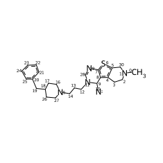 CN1CCc2c(sc3c2C([N])N(CCCN2CCC(Cc4ccccc4)CC2)C=N3)C1